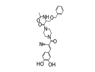 CC(=O)NC(COCc1ccccc1)C(=O)N1CCN(C(=O)/C(C#N)=C/c2ccc(O)c(O)c2)CC1